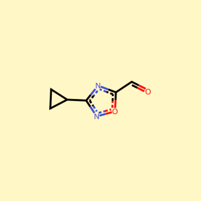 O=Cc1nc(C2CC2)no1